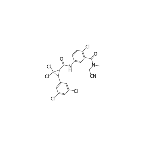 CN(CC#N)C(=O)c1cc(NC(=O)C2C(c3cc(Cl)cc(Cl)c3)C2(Cl)Cl)ccc1Cl